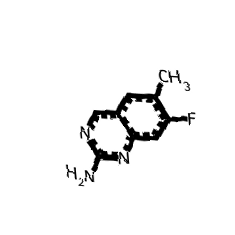 Cc1cc2cnc(N)nc2cc1F